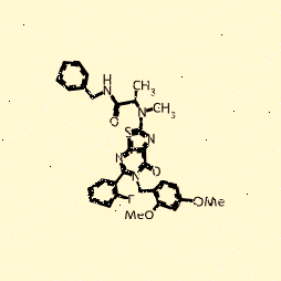 COc1ccc(Cn2c(-c3ccccc3F)nc3sc(N(C)[C@H](C)C(=O)NCc4ccccc4)nc3c2=O)c(OC)c1